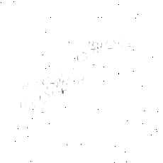 CCCc1ccc(C)cc1-n1c(C)cs/c1=N\C(=O)NC(C)CCCc1ccc(-c2ncn(-c3ccc(OC(F)(F)F)cc3)n2)cc1